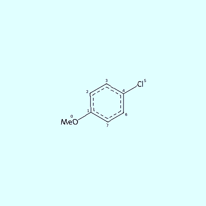 [CH2-][OH+]c1ccc(Cl)cc1